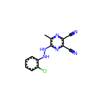 Cc1nc(C#N)c(C#N)nc1NNc1ccccc1Cl